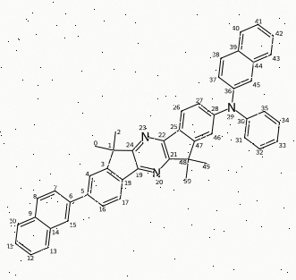 CC1(C)c2cc(-c3ccc4ccccc4c3)ccc2-c2nc3c(nc21)-c1ccc(N(c2ccccc2)c2ccc4ccccc4c2)cc1C3(C)C